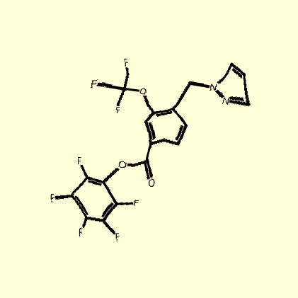 O=C(Oc1c(F)c(F)c(F)c(F)c1F)c1ccc(Cn2cccn2)c(OC(F)(F)F)c1